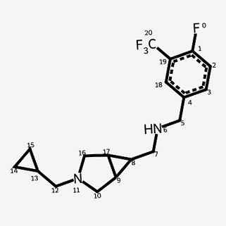 Fc1ccc(CNCC2C3CN(CC4CC4)CC23)cc1C(F)(F)F